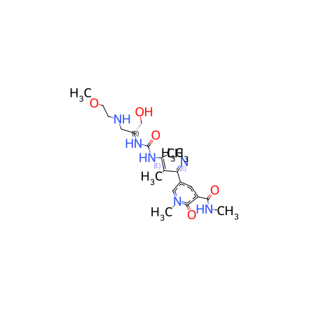 C/N=C(\C(C)=C(/C)NC(=O)N[C@@H](CO)CNCCOC)c1cc(C(=O)NC)c(=O)n(C)c1